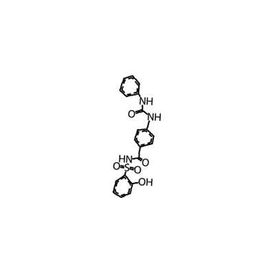 O=C(Nc1ccccc1)Nc1ccc(C(=O)NS(=O)(=O)c2ccccc2O)cc1